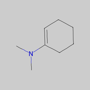 CN(C)C1=CCCCC1